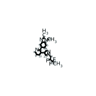 Cc1nc2cc(-c3ncccc3-c3cnn(CC(F)C(C)(F)F)c3)ccc2n1C